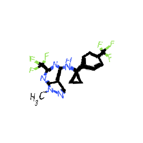 Cn1ncc2c(NC3(c4ccc(C(F)(F)F)cc4)CC3)nc(C(F)(F)F)nc21